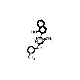 CN1CCCC(NC2=CN(C)[C@@H](c3ccc4ccccc4c3O)N=N2)C1